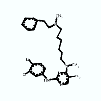 CN(CCCCCCN(C)c1nc(Nc2ccc(Cl)c(Cl)c2)ncc1C(F)(F)F)CCc1ccccc1